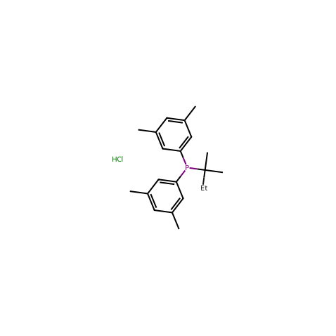 CCC(C)(C)P(c1cc(C)cc(C)c1)c1cc(C)cc(C)c1.Cl